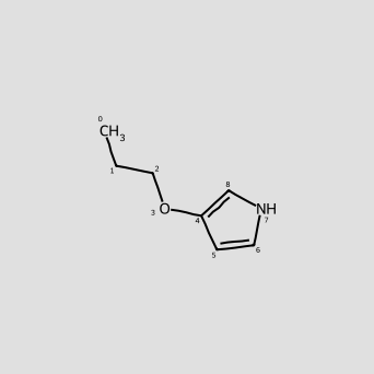 CCCOc1cc[nH]c1